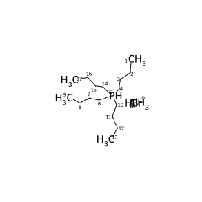 Br.CCCC[PH](CCCC)(CCCC)CCCC.[AlH3]